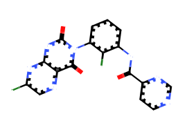 O=C(Nc1cccc(-n2c(=O)[nH]c3nc(Cl)cnc3c2=O)c1Cl)c1ccncn1